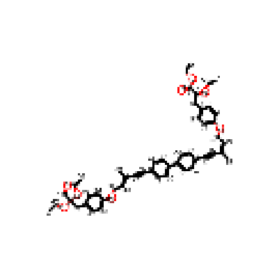 CCOC(=O)C(Cc1ccc(OCC=C(C)C#Cc2ccc(-c3ccc(C#CC(C)=CCOc4ccc(CC(C=O)(OCC)OCC)cc4)cc3)cc2)cc1)OCC